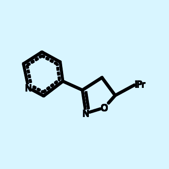 CC(C)C1CC(c2cccnc2)=NO1